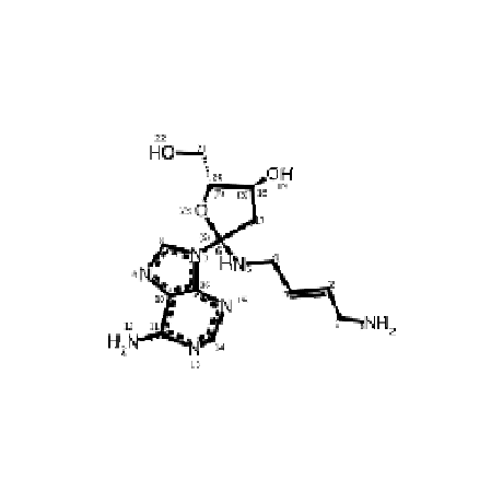 NCC=CCN[C@]1(n2cnc3c(N)ncnc32)C[C@H](O)[C@@H](CO)O1